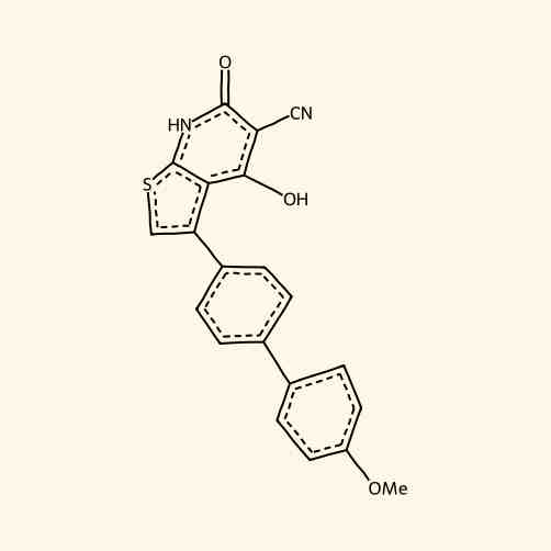 COc1ccc(-c2ccc(-c3csc4[nH]c(=O)c(C#N)c(O)c34)cc2)cc1